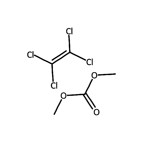 COC(=O)OC.ClC(Cl)=C(Cl)Cl